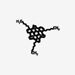 CCCCCCc1ccc2c3c1c1ccc4c5ccc(CCCCCC)c6c5c5c(c3c3c7c8c(ccc(CCCCCC)c8c8ccc2n83)c2ccc6n2c57)n41